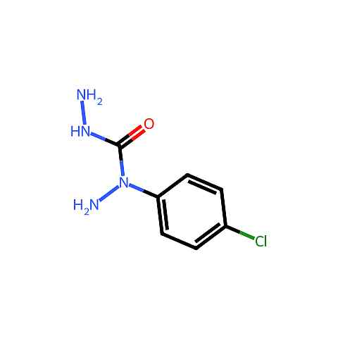 NNC(=O)N(N)c1ccc(Cl)cc1